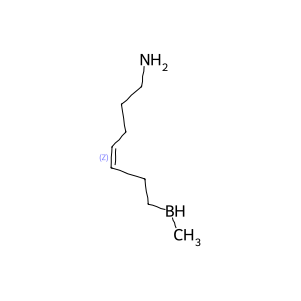 CBCC/C=C\CCCN